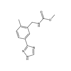 COC(=O)NCc1cc(-c2nc[nH]n2)ccc1C